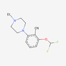 CCN1CCN(c2cccc(OC(F)F)c2C#N)CC1